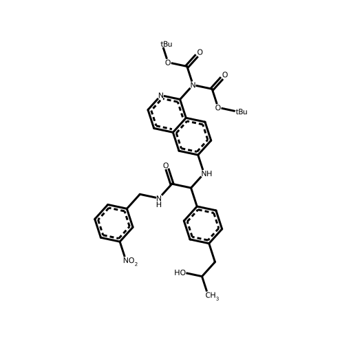 CC(O)Cc1ccc(C(Nc2ccc3c(N(C(=O)OC(C)(C)C)C(=O)OC(C)(C)C)nccc3c2)C(=O)NCc2cccc([N+](=O)[O-])c2)cc1